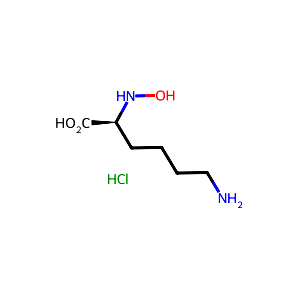 Cl.NCCCC[C@H](NO)C(=O)O